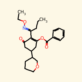 CCCC(=NOCC)C1=C(OC(=O)c2ccccc2)CC(C2CCCOC2)CC1=O